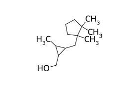 CC1C(CO)C1CC1(C)CCCC1(C)C